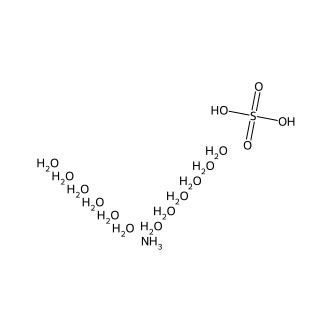 N.O.O.O.O.O.O.O.O.O.O.O.O.O=S(=O)(O)O